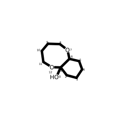 OC12CCCCC1OCCCCO2